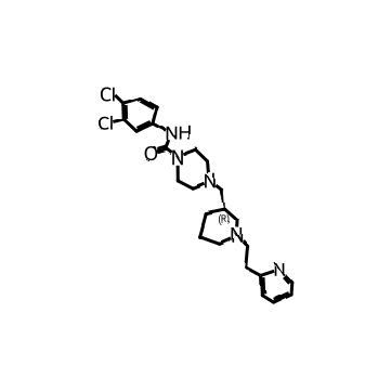 O=C(Nc1ccc(Cl)c(Cl)c1)N1CCN(C[C@@H]2CCCN(CCc3ccccn3)C2)CC1